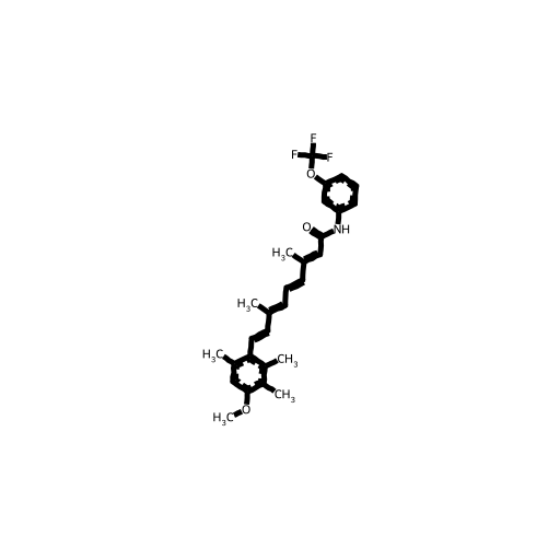 COc1cc(C)c(C=C/C(C)=C/C=C/C(C)=C/C(=O)Nc2cccc(OC(F)(F)F)c2)c(C)c1C